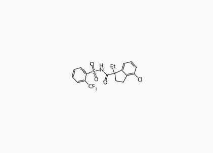 CCC1(C(=O)NS(=O)(=O)c2ccccc2C(F)(F)F)CCc2c(Cl)cccc21